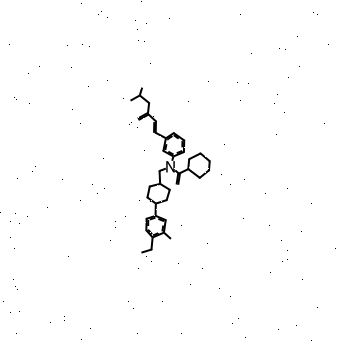 C=C(/C=C/c1cccc(N(CC2CCC(c3ccc(CC)c(C)c3)CC2)C(=C)C2CCCCC2)c1)CC(C)C